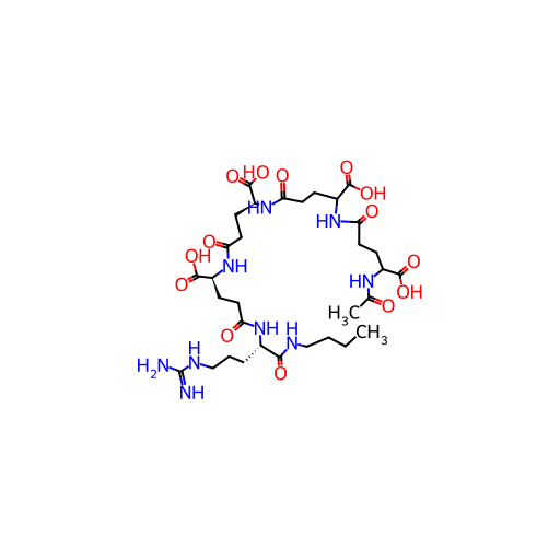 CCCCNC(=O)[C@H](CCCNC(=N)N)NC(=O)CC[C@H](NC(=O)CC[C@H](NC(=O)CCC(NC(=O)CCC(NC(C)=O)C(=O)O)C(=O)O)C(=O)O)C(=O)O